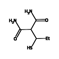 CCC(S)C(C(N)=O)C(N)=O